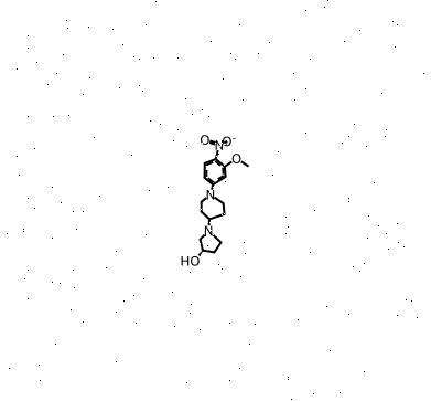 COc1cc(N2CCC(N3CC[C@@H](O)C3)CC2)ccc1[N+](=O)[O-]